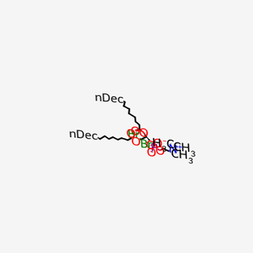 CCCCCCCCCCCCCCCCCC(=O)O[C@@H](COP(=O)([O-])OCC[N+](C)(C)C)C(Br)(Br)OC(=O)CCCCCCCCCCCCCCCCC